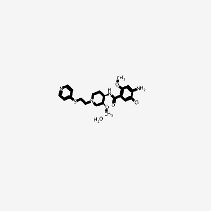 COc1cc(N)c(Cl)cc1C(=O)N[C@@H]1CCN(CCSc2ccncc2)C[C@@H]1OC.O